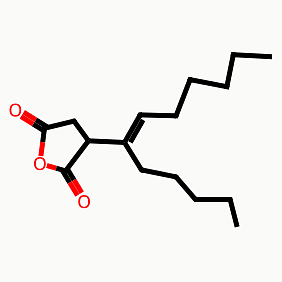 CCCCCC=C(CCCCC)C1CC(=O)OC1=O